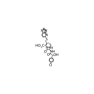 O=C(O)C1=C(CSc2ccc3nnnn3n2)CS[C@H]2C(NC(=O)C(O)c3ccc(Cl)cc3)C(=O)N12